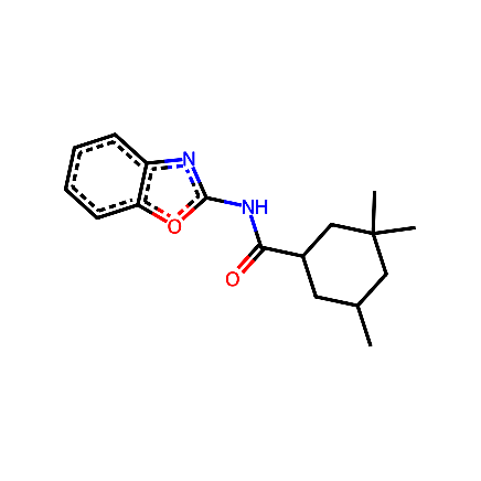 CC1CC(C(=O)Nc2nc3ccccc3o2)CC(C)(C)C1